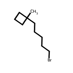 CC1(CCCCCBr)CCC1